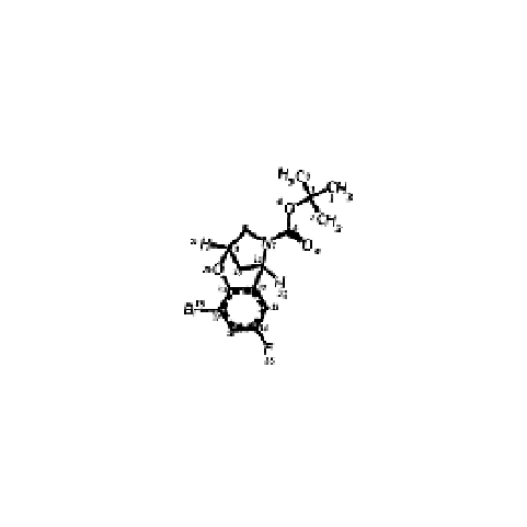 CC(C)(C)OC(=O)N1C[C@@H]2C[C@H]1c1cc(F)cc(Br)c1O2